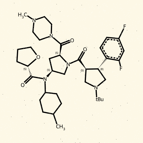 CC1CCC(N(C(=O)[C@@H]2CCCO2)[C@H]2C[C@@H](C(=O)N3CCN(C)CC3)N(C(=O)[C@@H]3CN(C(C)(C)C)C[C@H]3c3ccc(F)cc3F)C2)CC1